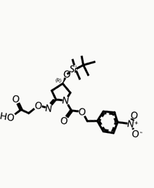 CC(C)(C)[Si](C)(C)O[C@@H]1CC(=NOCC(=O)O)N(C(=O)OCc2ccc([N+](=O)[O-])cc2)C1